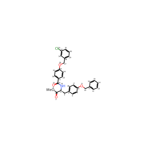 COC(=O)[C@H](Cc1ccc(OCc2ccccc2)cc1)NC(=O)c1ccc(OCc2cccc(Cl)c2)cc1